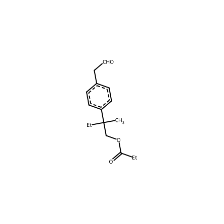 CCC(=O)OCC(C)(CC)c1ccc(CC=O)cc1